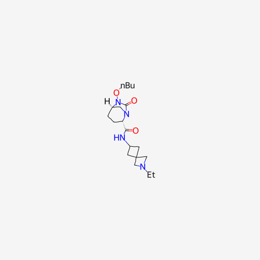 CCCCON1C(=O)N2C[C@H]1CC[C@H]2C(=O)NC1CC2(C1)CN(CC)C2